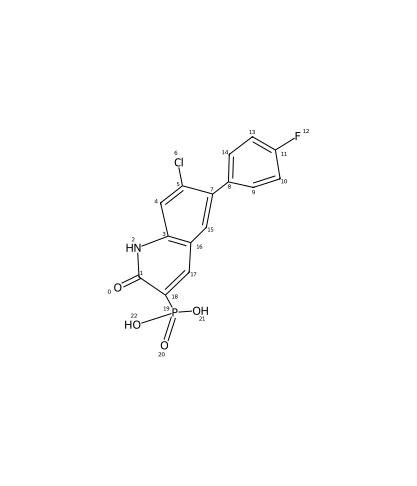 O=c1[nH]c2cc(Cl)c(-c3ccc(F)cc3)cc2cc1P(=O)(O)O